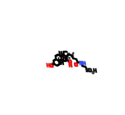 C[C@H](CCC(=O)NCCS(=O)(=O)O)[C@H]1CC[C@@H]2[C@H]3CCC4C[C@H](O)CC[C@]4(C)[C@H]3C[C@H](O)[C@@]21C